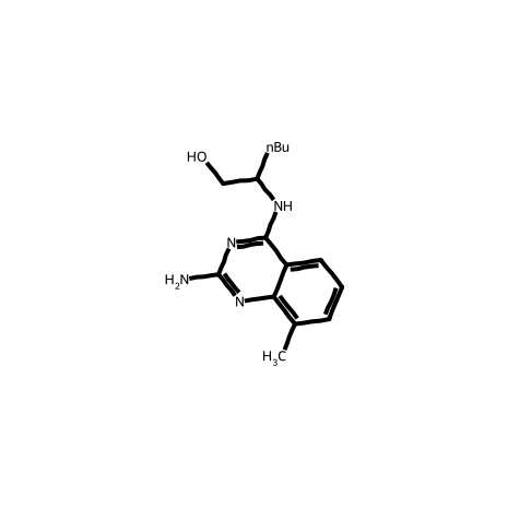 CCCCC(CO)Nc1nc(N)nc2c(C)cccc12